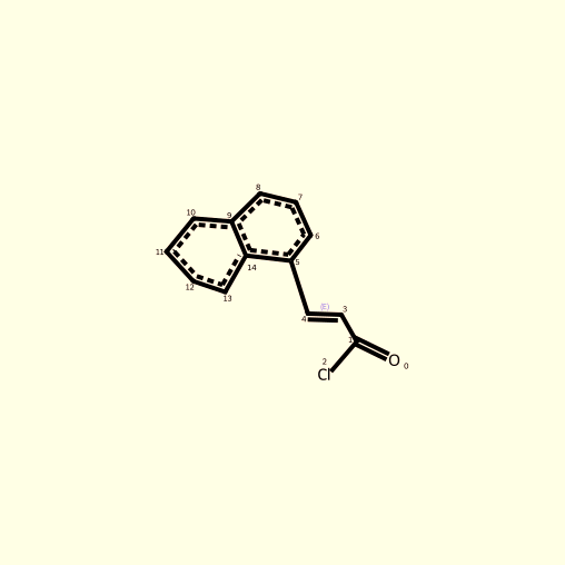 O=C(Cl)/C=C/c1cccc2ccccc12